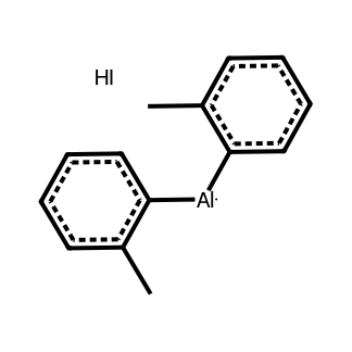 Cc1cccc[c]1[Al][c]1ccccc1C.I